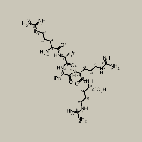 CC(C)[C@H](NC(=O)[C@@H](NC(=O)[C@@H](N)CCCNC(=N)N)C(C)C)C(=O)N[C@@H](CCCNC(=N)N)C(=O)N[C@@H](CCCNC(=N)N)C(=O)O